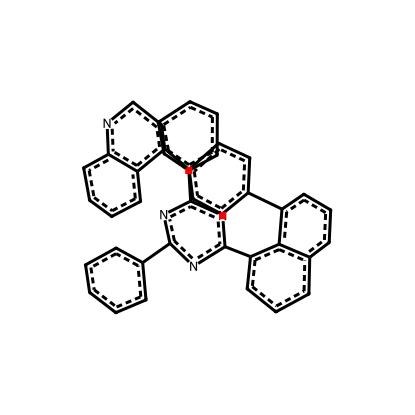 c1ccc(-c2nc(-c3ccccc3)nc(-c3cccc4cccc(-c5ccc(-c6ccnc7ccccc67)cc5)c34)n2)cc1